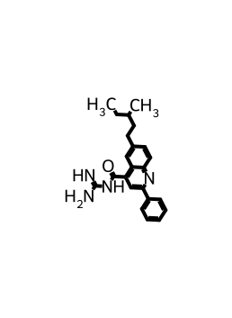 CCC(C)CCc1ccc2nc(-c3ccccc3)cc(C(=O)NC(=N)N)c2c1